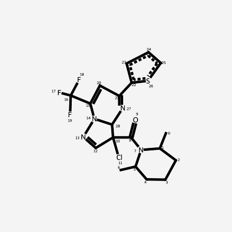 CC1CCCC(C)N1C(=O)C1(Cl)C=NN2C(C(F)(F)F)=CC(c3cccs3)=NC21